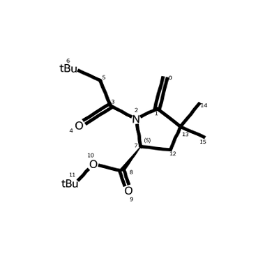 C=C1N(C(=O)CC(C)(C)C)[C@H](C(=O)OC(C)(C)C)CC1(C)C